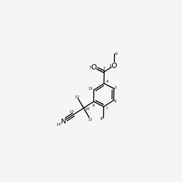 COC(=O)c1ccc(C)c(C(C)(C)C#N)c1